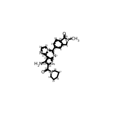 CN1Cc2cc(-c3nc4sc(C(=O)N5CCCCC5)c(N)c4c4nccn34)ccc2C1=O